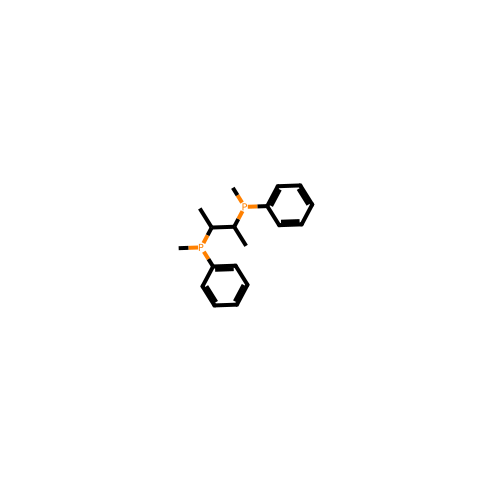 CC(C(C)P(C)c1ccccc1)P(C)c1ccccc1